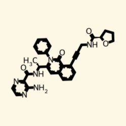 C[C@H](NC(=O)c1nccnc1N)c1cc2cccc(C#CCNC(=O)[C@H]3CCCO3)c2c(=O)n1-c1ccccc1